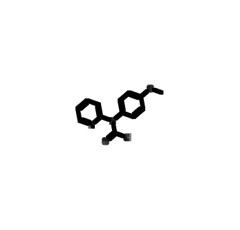 COc1ccc(N(C(=O)Cl)c2ccccn2)cc1